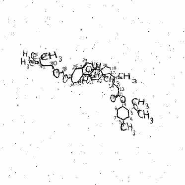 CC(C)[C@@H]1C[C@@H](C)CC[C@@H]1OC(=O)CC[C@@H](C)[C@H]1CC[C@H]2[C@@H]3CC=C4C[C@@H](OCOCC[Si](C)(C)C)CC[C@]4(C)[C@H]3CC[C@]12C